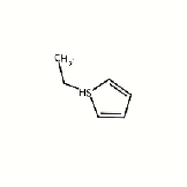 [CH2]C[SH]1C=CC=C1